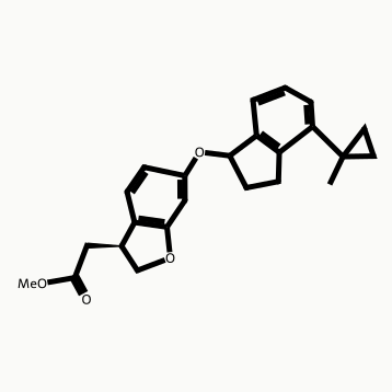 COC(=O)C[C@@H]1COc2cc(OC3CCc4c3cccc4C3(C)CC3)ccc21